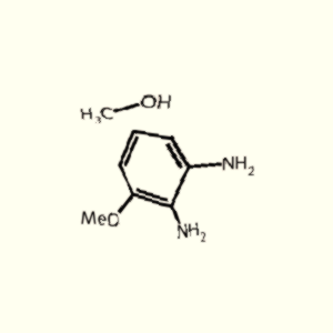 CO.COc1cccc(N)c1N